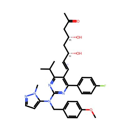 COc1ccc(CN(c2nc(-c3ccc(F)cc3)c(/C=C/[C@@H](O)C[C@@H](O)CC(C)=O)c(C(C)C)n2)c2ccnn2C)cc1